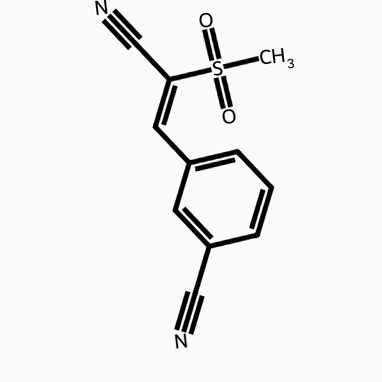 CS(=O)(=O)C(C#N)=Cc1cccc(C#N)c1